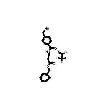 NCc1ccc(C(=O)NCCC(=O)OCc2ccccc2)cc1.O=C(O)C(F)(F)F